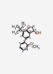 COc1ncccc1-c1cc2c(c(C(C)(C)C)c1)OCC2O